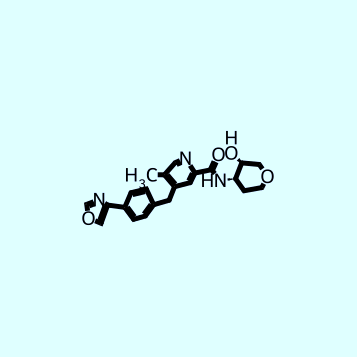 Cc1cnc(C(=O)N[C@H]2CCOC[C@@H]2O)cc1Cc1ccc(-c2cocn2)cc1